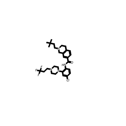 CC(C)(C)CCN1CCc2ccc(C(=O)Nc3ccc(Cl)cc3N3CCN(CCC(F)(F)F)CC3)cc2C1